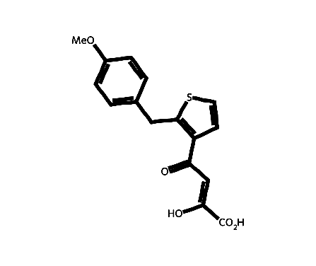 COc1ccc(Cc2sccc2C(=O)C=C(O)C(=O)O)cc1